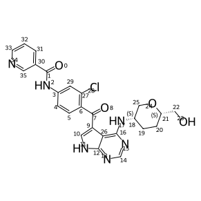 O=C(Nc1ccc(C(=O)c2c[nH]c3ncnc(N[C@H]4CC[C@@H](CO)OC4)c23)c(Cl)c1)c1cccnc1